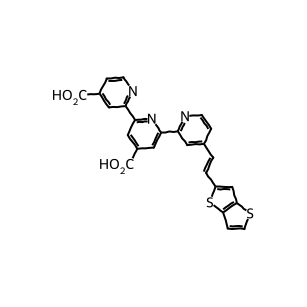 O=C(O)c1ccnc(-c2cc(C(=O)O)cc(-c3cc(/C=C/c4cc5sccc5s4)ccn3)n2)c1